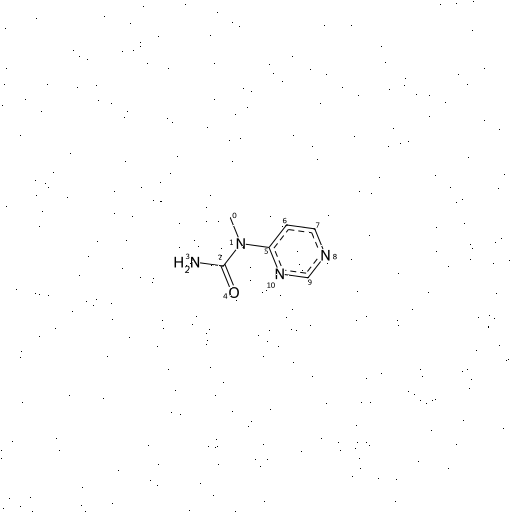 CN(C(N)=O)c1ccncn1